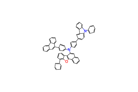 c1ccc(-c2cccc3c2oc2c4ccccc4cc(N(c4ccc(-c5ccc6c(c5)c5ccccc5n6-c5ccccc5)cc4)c4ccc(-c5cc6ccccc6c6ccccc56)cc4)c32)cc1